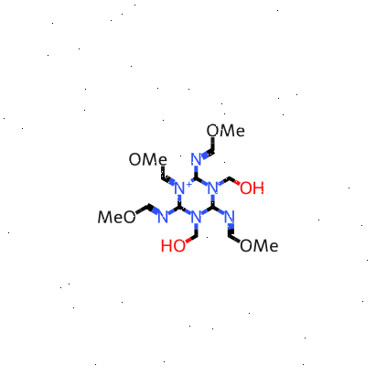 COC=NC1N(CO)C(N=COC)[N+](=COC)C(N=COC)N1CO